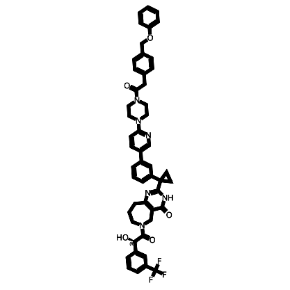 O=C(Cc1ccc(COc2ccccc2)cc1)N1CCN(c2ccc(-c3cccc(C4(c5nc6c(c(=O)[nH]5)CN(C(=O)[C@H](O)c5cccc(C(F)(F)F)c5)CCC6)CC4)c3)cn2)CC1